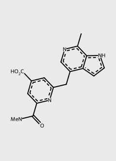 CNC(=O)c1cc(C(=O)O)cc(Cc2cnc(C)c3[nH]ccc23)n1